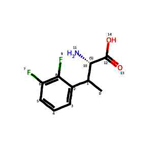 CC(c1cccc(F)c1F)[C@H](N)C(=O)O